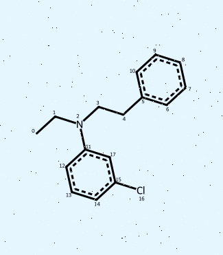 CCN(CCc1ccccc1)c1cccc(Cl)c1